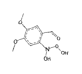 COc1cc(C=O)c(N(O)OO)cc1OC